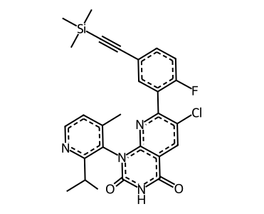 Cc1ccnc(C(C)C)c1-n1c(=O)[nH]c(=O)c2cc(Cl)c(-c3cc(C#C[Si](C)(C)C)ccc3F)nc21